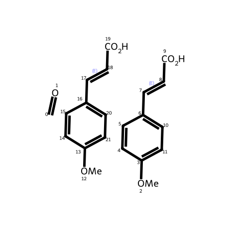 C=O.COc1ccc(/C=C/C(=O)O)cc1.COc1ccc(/C=C/C(=O)O)cc1